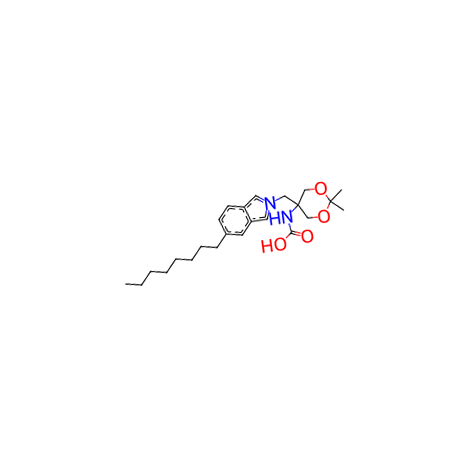 CCCCCCCCc1ccc2cn(CC3(NC(=O)O)COC(C)(C)OC3)cc2c1